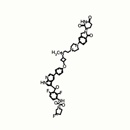 CN(CCN1CCN(c2ccc3c(c2)CN([C@H]2CCC(=O)NC2=O)C3=O)CC1)C1CC(Oc2ccc(-c3cnc4[nH]cc(C(=O)c5c(F)ccc(NS(=O)(=O)N6CC[C@@H](F)C6)c5F)c4c3)cc2)C1